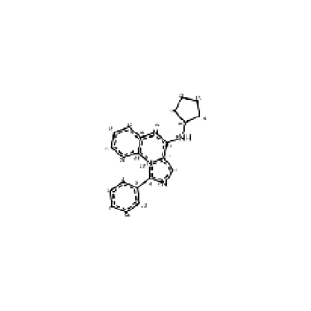 c1ccc(-c2ncc3c(NC4CCCC4)nc4ccccc4n23)cc1